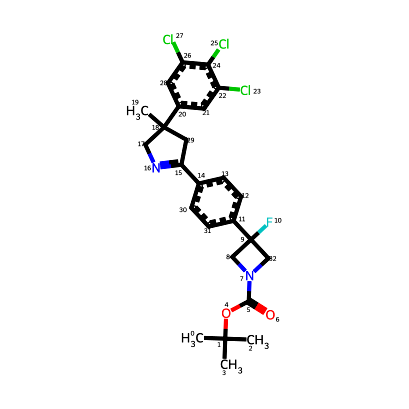 CC(C)(C)OC(=O)N1CC(F)(c2ccc(C3=NCC(C)(c4cc(Cl)c(Cl)c(Cl)c4)C3)cc2)C1